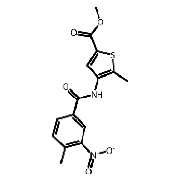 COC(=O)c1cc(NC(=O)c2ccc(C)c([N+](=O)[O-])c2)c(C)s1